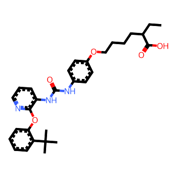 CCC(CCCCOc1ccc(NC(=O)Nc2cccnc2Oc2ccccc2C(C)(C)C)cc1)C(=O)O